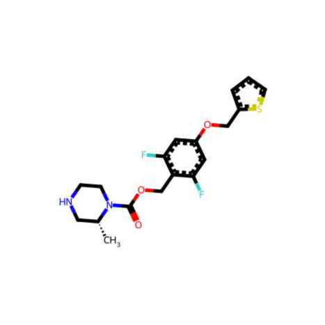 C[C@@H]1CNCCN1C(=O)OCc1c(F)cc(OCc2cccs2)cc1F